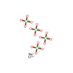 [Cr+3].[Na+].[O-][Cl+3]([O-])([O-])[O-].[O-][Cl+3]([O-])([O-])[O-].[O-][Cl+3]([O-])([O-])[O-].[O-][Cl+3]([O-])([O-])[O-]